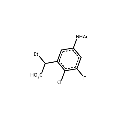 CCC(C(=O)O)c1cc(NC(C)=O)cc(F)c1Cl